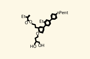 C=C(CC)C(=O)OCCCc1cc(-c2ccc(-c3ccc(CCCCC)cc3)cc2CC)ccc1OCCC(CO)CO